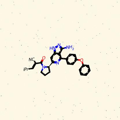 CC(C)C=C(C#N)C(=O)N1CCC[C@@H]1c1cc2[nH]nc(N)c2c(-c2ccc(Oc3ccccc3)cc2)n1